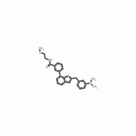 COCCNC(=O)c1cccc(-c2cccc3cc(Cc4cccc(N(C)C)c4)sc23)c1